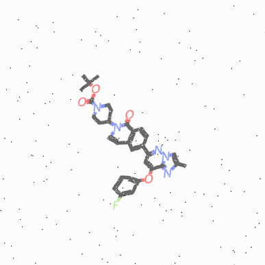 Cc1cn2nc(-c3ccc4c(=O)n(C5CCN(C(=O)OC(C)(C)C)CC5)ccc4c3)cc(Oc3cccc(F)c3)c2n1